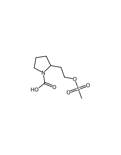 CS(=O)(=O)OCCC1CCCN1C(=O)O